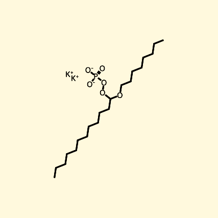 CCCCCCCCCCCC(OCCCCCCCC)OOP(=O)([O-])[O-].[K+].[K+]